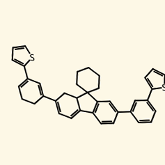 C1=C(C2=CC=C3c4ccc(-c5cccc(-c6cccs6)c5)cc4C4(CCCCC4)C3C2)CCC=C1c1cccs1